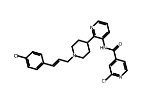 O=C(Nc1cccnc1C1CCN(CC=Cc2ccc(Cl)cc2)CC1)c1ccnc(Cl)c1